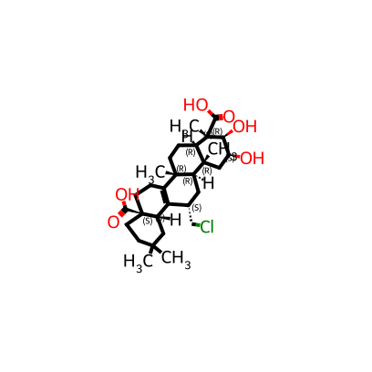 CC1(C)CC[C@]2(C(=O)O)CCC3=C([C@@H](CCl)C[C@@H]4[C@@]5(C)C[C@H](O)[C@H](O)[C@@](C)(C(=O)O)[C@@H]5CC[C@@]34C)[C@@H]2C1